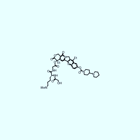 CCc1c2c(nc3ccc(OC(=O)N4CCC(N5CCCCC5)CC4)cc13)-c1cc3c(c(=O)n1C2)COC(=O)[C@@]3(CC)OC(=O)CNC(=O)[C@H](CCCCNC)NC(=O)CO